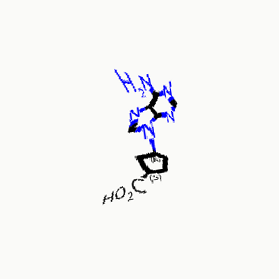 Nc1ncnc2c1ncn2[C@H]1C=C[C@@H](C(=O)O)C1